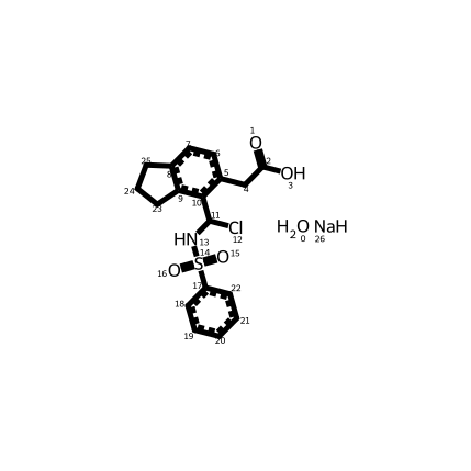 O.O=C(O)Cc1ccc2c(c1C(Cl)NS(=O)(=O)c1ccccc1)CCC2.[NaH]